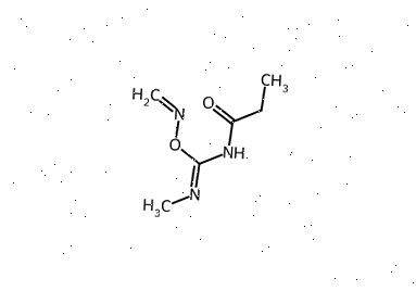 C=NO/C(=N\C)NC(=O)CC